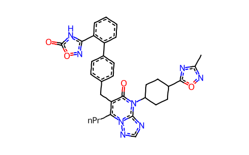 CCCc1c(Cc2ccc(-c3ccccc3-c3noc(=O)[nH]3)cc2)c(=O)n(C2CCC(c3nc(C)no3)CC2)c2ncnn12